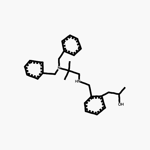 CC(O)Cc1ccccc1CNCC(C)(C)N(Cc1ccccc1)Cc1ccccc1